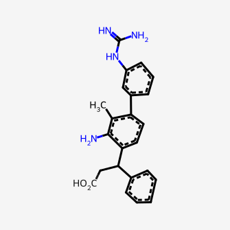 Cc1c(-c2cccc(NC(=N)N)c2)ccc(C(CC(=O)O)c2ccccc2)c1N